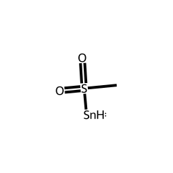 C[S](=O)(=O)[SnH]